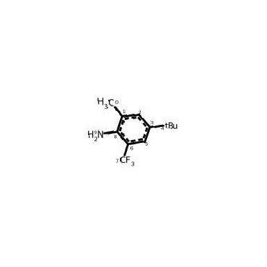 Cc1cc(C(C)(C)C)cc(C(F)(F)F)c1N